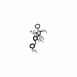 C=C(C)N(C(=C)CC(C)(C)c1cccc(Cc2cccc(C)c2)c1C)C1CCCCC1